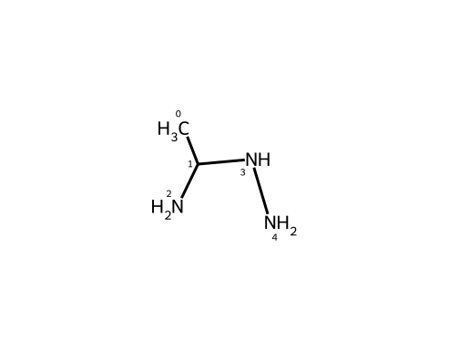 CC(N)NN